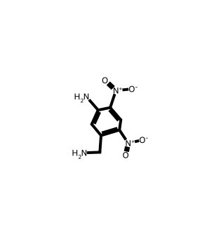 NCc1cc(N)c([N+](=O)[O-])cc1[N+](=O)[O-]